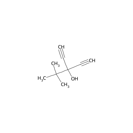 C#CC(O)(C#C)C(C)(C)C